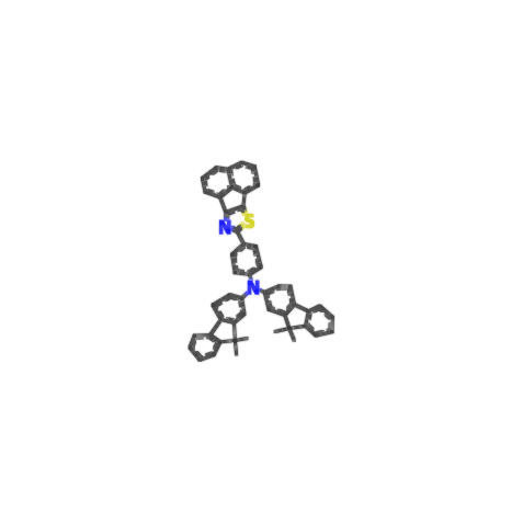 CC1(C)c2ccccc2-c2ccc(N(c3ccc(-c4nc5c(s4)-c4cccc6cccc-5c46)cc3)c3ccc4c(c3)C(C)(C)c3ccccc3-4)cc21